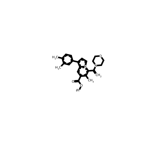 C=C(c1c(C)c(C(=O)OC(C)C)cc2c(-c3ccc(C)c(C)c3)ccn12)N1CCOCC1